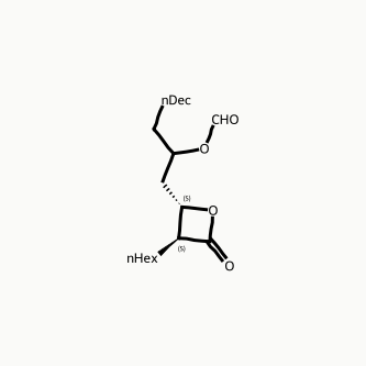 CCCCCCCCCCCC(C[C@@H]1OC(=O)[C@H]1CCCCCC)OC=O